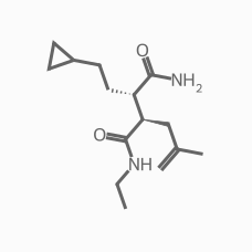 C=C(C)C[C@@H](C(=O)NCC)[C@H](CCC1CC1)C(N)=O